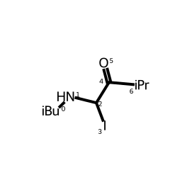 CCC(C)NC(I)C(=O)C(C)C